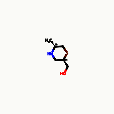 C[C@@H]1CS[C@@H](CO)CN1